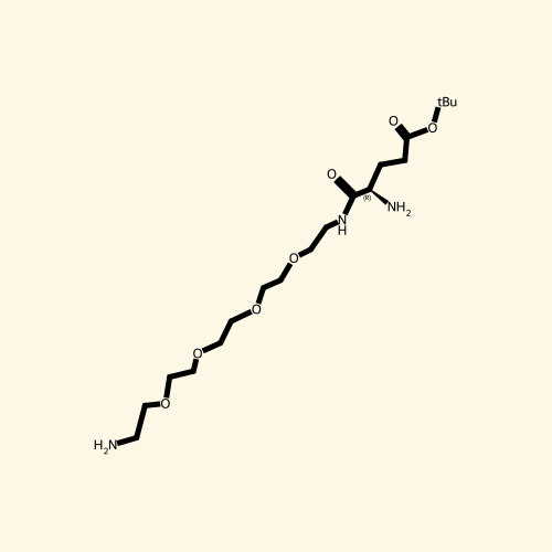 CC(C)(C)OC(=O)CC[C@@H](N)C(=O)NCCOCCOCCOCCOCCN